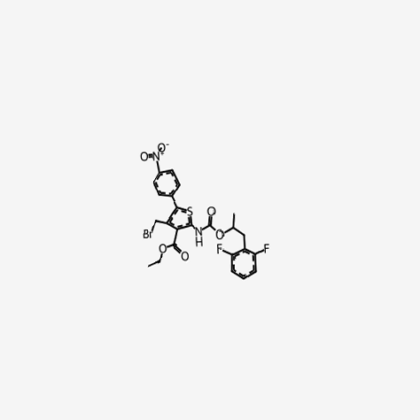 CCOC(=O)c1c(NC(=O)OC(C)Cc2c(F)cccc2F)sc(-c2ccc([N+](=O)[O-])cc2)c1CBr